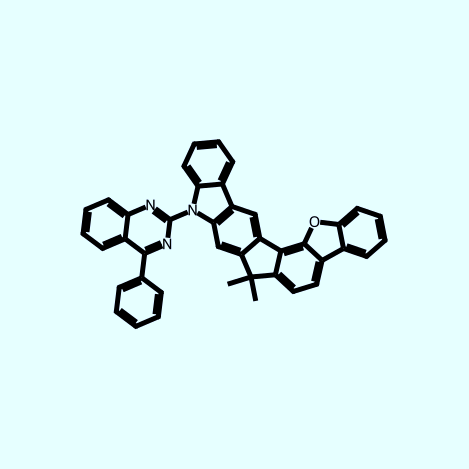 CC1(C)c2cc3c(cc2-c2c1ccc1c2oc2ccccc21)c1ccccc1n3-c1nc(-c2ccccc2)c2ccccc2n1